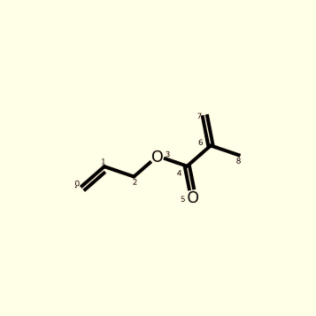 [CH]=CCOC(=O)C(=C)C